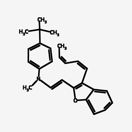 C/C=C\C=C/c1c(/C=C/N(C)c2ccc(C(C)(C)C)cc2)oc2ccccc12